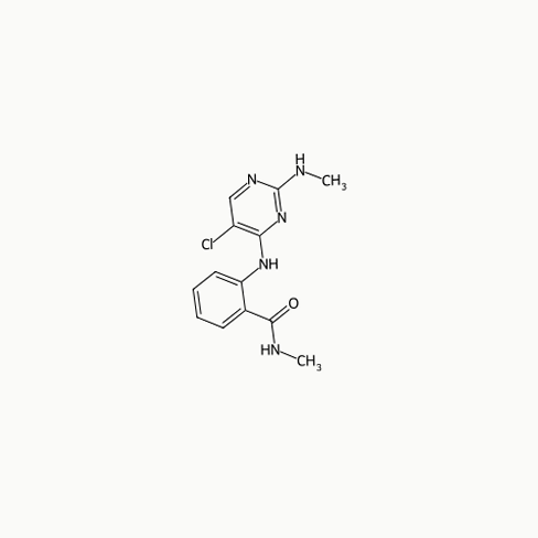 CNC(=O)c1ccccc1Nc1nc(NC)ncc1Cl